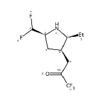 CC[C@@H]1N[C@H](C(F)F)C[C@@H]1CC(=O)C(F)(F)F